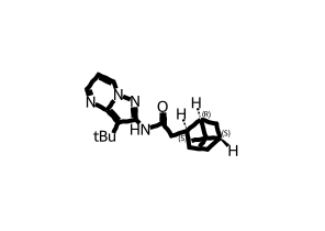 CC(C)(C)c1c(NC(=O)C[C@@H]2CC[C@H]3C[C@H]2C3(C)C)nn2cccnc12